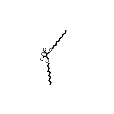 CCCCCCCCCCOCC1=C(COCCCCCCCCCC)C(=O)OC1=O